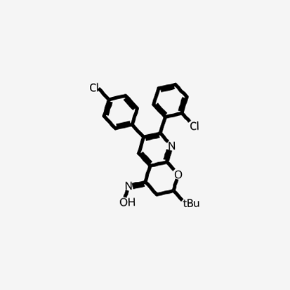 CC(C)(C)C1CC(=NO)c2cc(-c3ccc(Cl)cc3)c(-c3ccccc3Cl)nc2O1